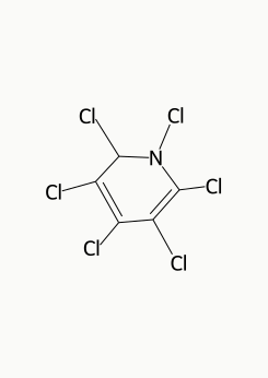 ClC1=C(Cl)C(Cl)N(Cl)C(Cl)=C1Cl